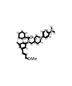 COC/C=C/c1cc(C)cc(N(CC2CCN(c3ccc(N(C)C)nc3)CC2)C(=O)C2CCCCC2)c1